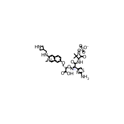 C[n+]1cc2cc(OC[C@H](O/N=C(\C(=O)N[C@@H]3C(=O)N(OS(=O)(=O)[O-])C3(C)C)c3csc(N)n3)C(=O)O)ccc2cc1NCC1CNC1